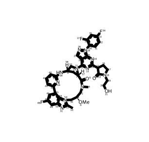 CO[C@H]1CN(C)C(=O)[C@@H]2C[C@@H](CN2c2nc(C3CCN(CCO)C3=O)nc3c2cnn3-c2ccc(F)cc2F)Nc2cccc(n2)-c2cc(F)cc3nc(C)n(c23)C1